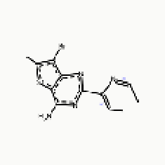 C/C=N\C(=C/C)c1nc(N)c2sc(C)c(Br)c2n1